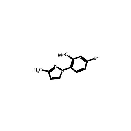 COc1cc(Br)ccc1-n1ccc(C)n1